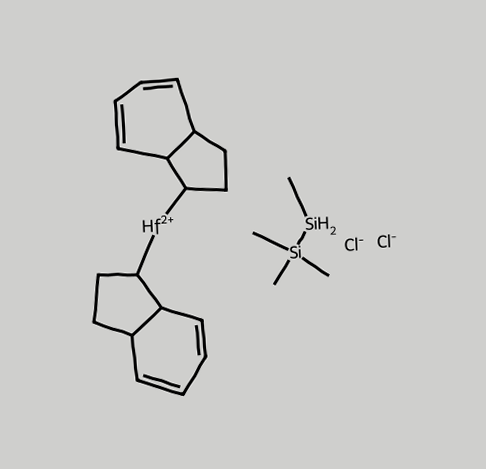 C1=CC2CC[CH]([Hf+2][CH]3CCC4C=CC=CC43)C2C=C1.C[SiH2][Si](C)(C)C.[Cl-].[Cl-]